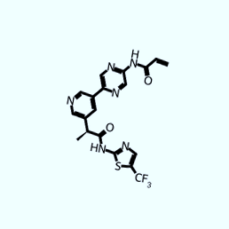 C=CC(=O)Nc1cnc(-c2cncc([C@H](C)C(=O)Nc3ncc(C(F)(F)F)s3)c2)cn1